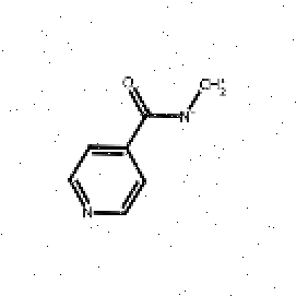 [CH2+][N-]C(=O)c1ccncc1